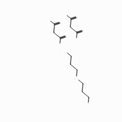 CC(=O)CC(C)=O.CC(=O)CC(C)=O.CCC[CH2][Sn][CH2]CCC